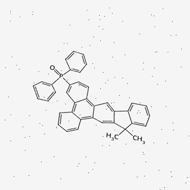 CC1(C)c2ccccc2-c2cc3c4ccc(P(=O)(c5ccccc5)c5ccccc5)cc4c4ccccc4c3cc21